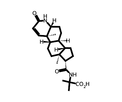 CC(C)(NC(=O)[C@H]1CC[C@H]2[C@@H]3CC[C@H]4NC(=O)C=C[C@]4(C)[C@H]3CC[C@]12C)C(=O)O